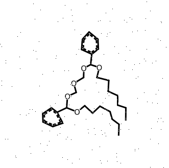 CCCCCCCOC(OCOCOC(OCCCCCCC)c1ccccc1)c1ccccc1